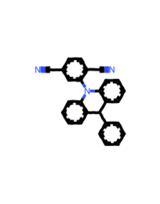 N#Cc1ccc(C#N)c(N2c3ccccc3C(c3ccccc3)c3ccccc32)c1